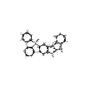 C[Si](c1ccccc1)(c1ccccc1)c1ccc2sc3nc4ccccc4n3c2c1